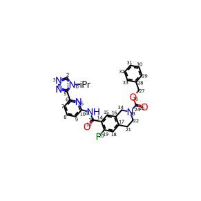 CC(C)n1cnnc1-c1cccc(NC(=O)c2cc3c(cc2F)CCN(C(=O)OCc2ccccc2)C3)n1